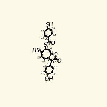 O=C(Sc1cc2oc(=O)c(-c3ccc(O)cc3)c-2ccc1S)c1ccc(S)cc1